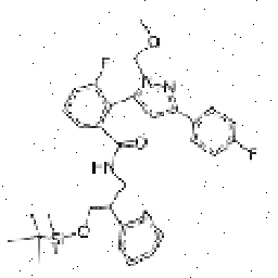 COCn1nc(-c2ccc(F)cc2)cc1-c1c(F)cccc1C(=O)NCC(CO[Si](C)(C)C(C)(C)C)c1ccccn1